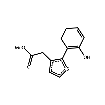 COC(=O)Cc1ccsc1C1=C(O)C=CCC1